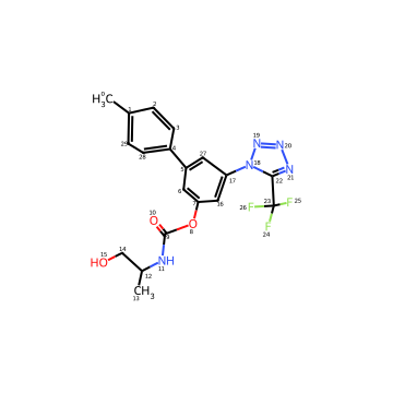 Cc1ccc(-c2cc(OC(=O)NC(C)CO)cc(-n3nnnc3C(F)(F)F)c2)cc1